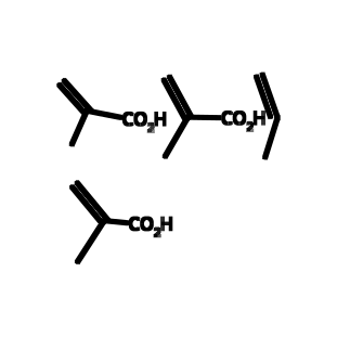 C=C(C)C(=O)O.C=C(C)C(=O)O.C=C(C)C(=O)O.C=CC